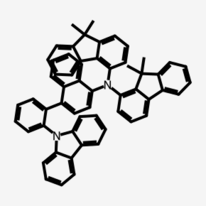 CC1(C)c2ccccc2-c2c(N(c3cccc4c3C(C)(C)c3ccccc3-4)c3ccc(-c4ccccc4-n4c5ccccc5c5ccccc54)c4ccccc34)cccc21